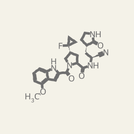 COc1cccc2[nH]c(C(=O)N3C[C@H](C4(F)CC4)CC3C(=O)N[C@H](C#N)C[C@@H]3CCNC3=O)cc12